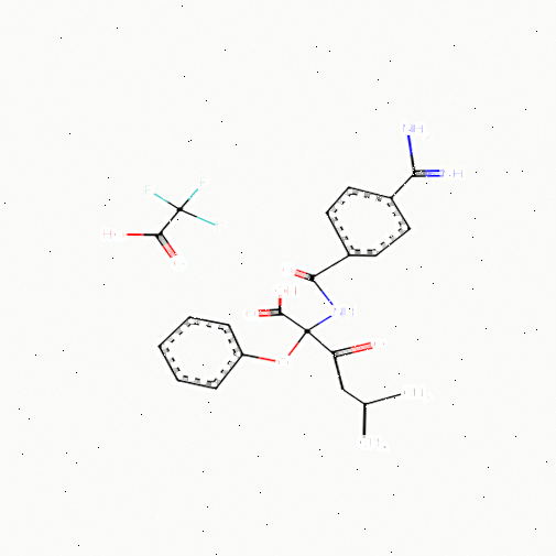 CC(C)CC(=O)C(NC(=O)c1ccc(C(=N)N)cc1)(Oc1ccccc1)C(=O)O.O=C(O)C(F)(F)F